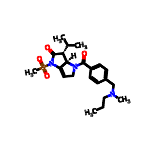 CCCN(C)Cc1ccc(C(=O)N2CC=C3[C@H]2[C@@H](C(C)C)C(=O)N3S(C)(=O)=O)cc1